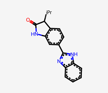 CC(C)C1C(=O)Nc2cc(-c3nc4ccccc4[nH]3)ccc21